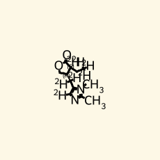 [2H]c1nc(C)n(C)c1C([2H])([2H])[C@H]1COC(=O)[C@@]1([2H])CC([2H])([2H])[2H]